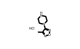 Cc1nonc1N1CCNCC1.Cl